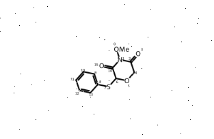 CON1C(=O)COC(Sc2ccccc2)C1=O